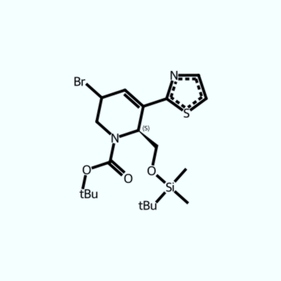 CC(C)(C)OC(=O)N1CC(Br)C=C(c2nccs2)[C@H]1CO[Si](C)(C)C(C)(C)C